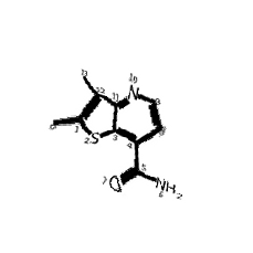 Cc1sc2c(C(N)=O)ccnc2c1C